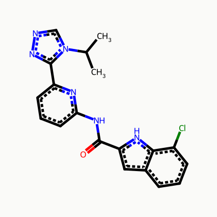 CC(C)n1cnnc1-c1cccc(NC(=O)c2cc3cccc(Cl)c3[nH]2)n1